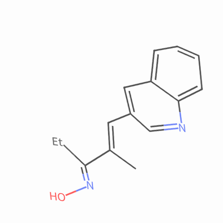 CCC(=N\O)/C(C)=C/c1cnc2ccccc2c1